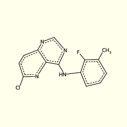 Cc1cccc(Nc2ncnc3ccc(Cl)nc23)c1F